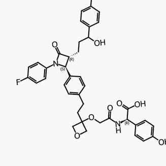 O=C(COC1(CCc2ccc([C@@H]3[C@@H](CCC(O)c4ccc(F)cc4)C(=O)N3c3ccc(F)cc3)cc2)COC1)N[C@@H](C(=O)O)c1ccc(O)cc1